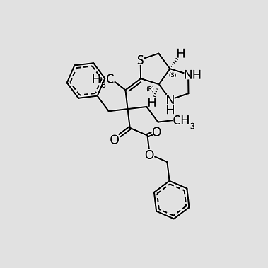 CCCC(Cc1ccccc1)(C(=O)C(=O)OCc1ccccc1)C(C)=C1SC[C@H]2NCN[C@@H]12